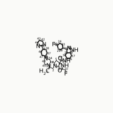 C=C(CN1CCC(NC(=O)CF)(C(=O)Nc2ccc3[nH]nc(-c4ccc(F)cc4)c3c2)C1)N1CCN(c2ccc(-c3ncccn3)cc2)CC1